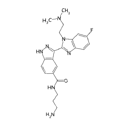 CN(C)CCn1c(-c2n[nH]c3ccc(C(=O)NCCCN)cc23)nc2ccc(F)cc21